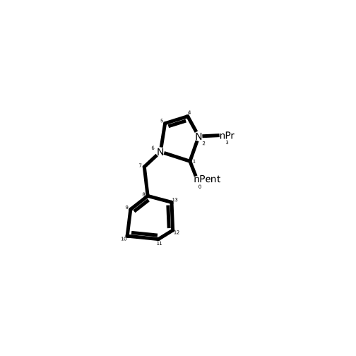 CCCCCC1N(CCC)C=CN1Cc1ccccc1